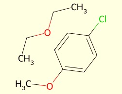 CCOCC.COc1ccc(Cl)cc1